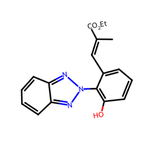 CCOC(=O)C(C)=Cc1cccc(O)c1-n1nc2ccccc2n1